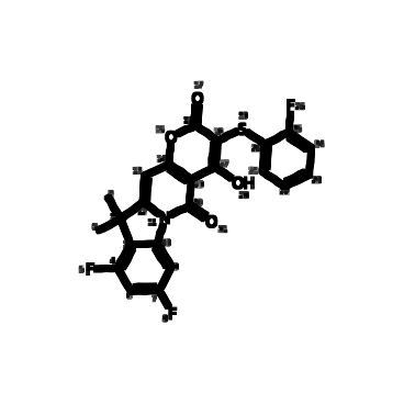 CC1(C)c2c(F)cc(F)cc2-n2c1cc1oc(=O)c(Sc3ccccc3F)c(O)c1c2=O